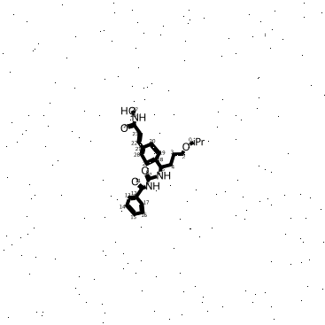 CC(C)OCCCC(NC(=O)NC(=O)c1ccccc1)c1ccc(C=CC(=O)NO)cc1